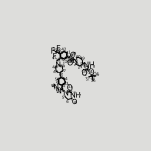 Cn1nc(N2CCC(=O)NC2=O)c2ccc(C3CCN(Cc4cc(S(=O)(=O)N5CCC(NC(=O)OC(C)(C)C)CC5)ccc4C(F)(F)F)CC3)cc21